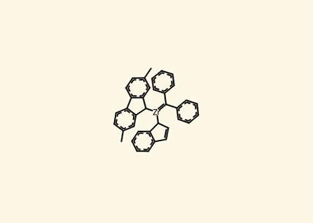 Cc1ccc2c(c1)[CH]([Zr](=[C](c1ccccc1)c1ccccc1)[CH]1C=Cc3ccccc31)c1cc(C)ccc1-2